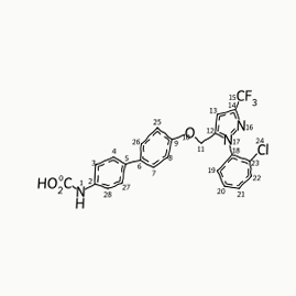 O=C(O)Nc1ccc(-c2ccc(OCc3cc(C(F)(F)F)nn3-c3ccccc3Cl)cc2)cc1